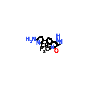 Cc1nc(N)ccc1-c1ccc2c3[nH]ncc3c(=O)n(CC(F)(F)F)c2c1